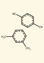 Cc1cccc(C)c1.N#Cc1ccc(C#N)cc1